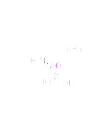 CCCCCOB(O)O.N.N